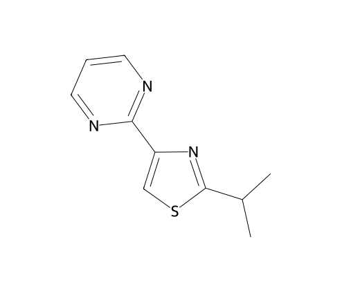 CC(C)c1nc(-c2ncccn2)cs1